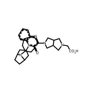 O=C(O)CN1CC2CN(c3nc4ccccc4n(C4CC5CCC(C4)N5C4CCCCCCC4)c3=O)CC2C1